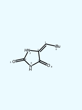 CCC(C)C=C1NC(=O)NC1=O